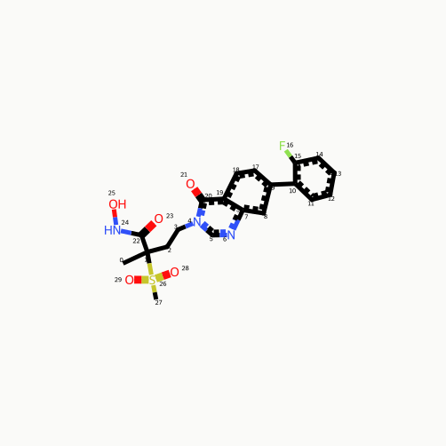 CC(CCn1cnc2cc(-c3ccccc3F)ccc2c1=O)(C(=O)NO)S(C)(=O)=O